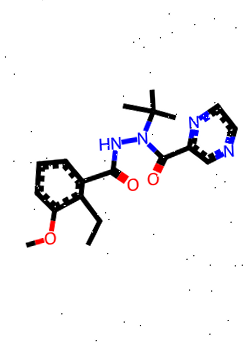 CCc1c(OC)cccc1C(=O)NN(C(=O)c1cnccn1)C(C)(C)C